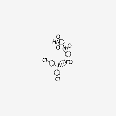 O=C1CCC(N2Cc3cc(C(=O)N4CCN(C(c5ccc(Cl)cc5)c5ccc(Cl)cc5)CC4)ccc3C2=O)C(=O)N1